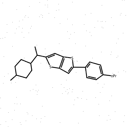 CCCc1ccc(-c2cc3sc(C(C)C4CCC(C)CC4)cc3s2)cc1